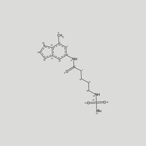 Cc1cc(NC(=O)CCCCNS(=O)(=O)C(C)(C)C)cc2ccsc12